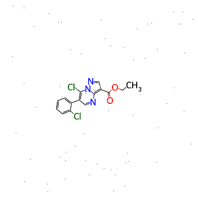 CCOC(=O)c1cnn2c(Cl)c(-c3ccccc3Cl)cnc12